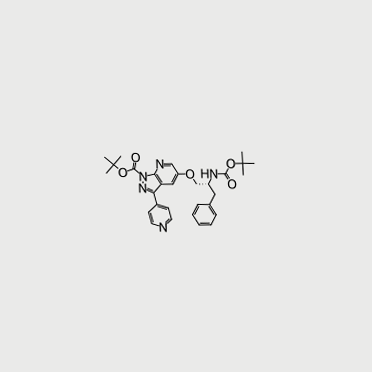 CC(C)(C)OC(=O)N[C@@H](COc1cnc2c(c1)c(-c1ccncc1)nn2C(=O)OC(C)(C)C)Cc1ccccc1